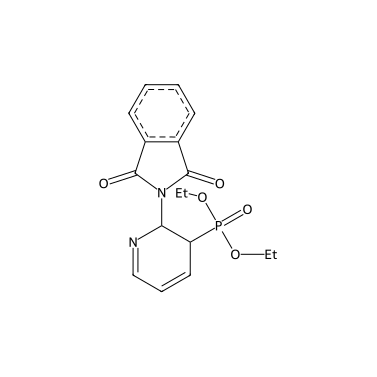 CCOP(=O)(OCC)C1C=CC=NC1N1C(=O)c2ccccc2C1=O